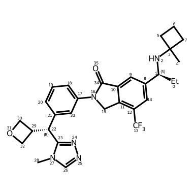 CC[C@H](NC1(C)CCC1)c1cc2c(c(C(F)(F)F)c1)CN(c1cccc([C@H](c3nncn3C)C3COC3)c1)C2=O